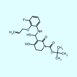 C=CCOc1c(F)cccc1NC(S)C1=C(O)CCN(C(=O)OC(C)(C)C)C1=O